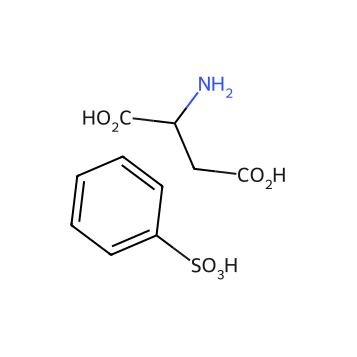 NC(CC(=O)O)C(=O)O.O=S(=O)(O)c1ccccc1